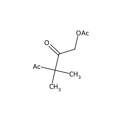 CC(=O)OCC(=O)C(C)(C)C(C)=O